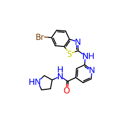 O=C(NC1CCNC1)c1ccnc(Nc2nc3ccc(Br)cc3s2)c1